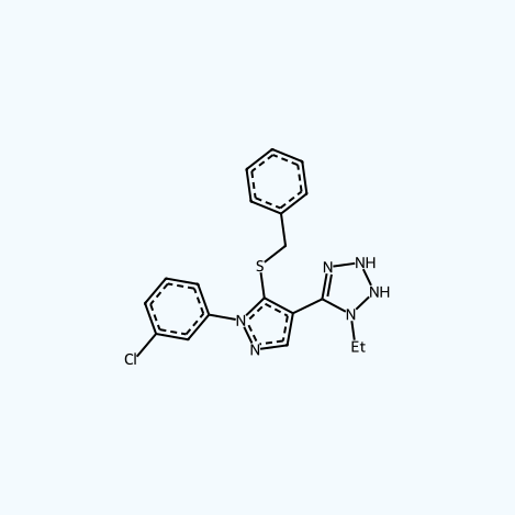 CCN1NNN=C1c1cnn(-c2cccc(Cl)c2)c1SCc1ccccc1